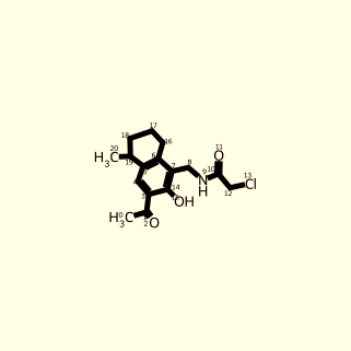 CC(=O)c1cc2c(c(CNC(=O)CCl)c1O)CCCC2C